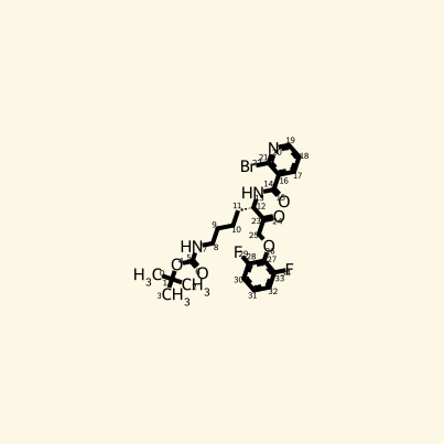 CC(C)(C)OC(=O)NCCCC[C@H](NC(=O)c1cccnc1Br)C(=O)COc1c(F)cccc1F